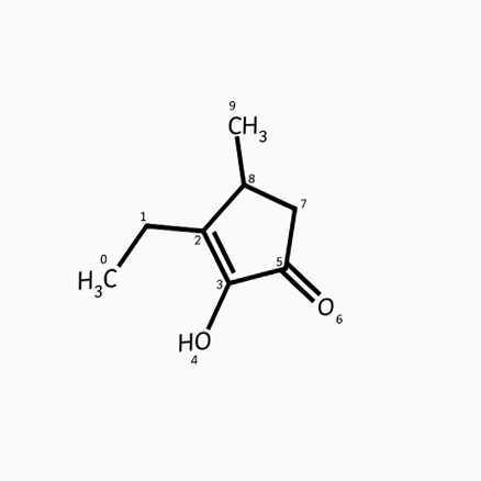 CCC1=C(O)C(=O)CC1C